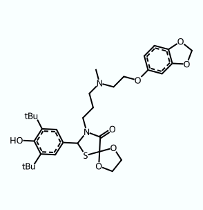 CN(CCCN1C(=O)C2(OCCO2)SC1c1cc(C(C)(C)C)c(O)c(C(C)(C)C)c1)CCOc1ccc2c(c1)OCO2